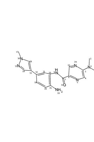 CN(C)c1cnc(C(=O)Nc2cc(-c3cnn(C)c3)ccc2N)cn1